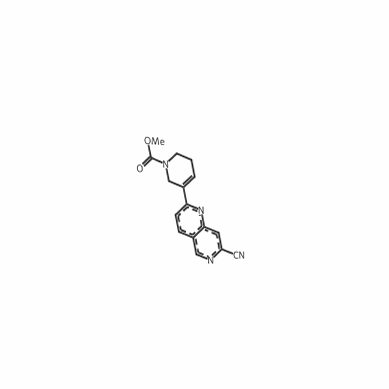 COC(=O)N1CCC=C(c2ccc3cnc(C#N)cc3n2)C1